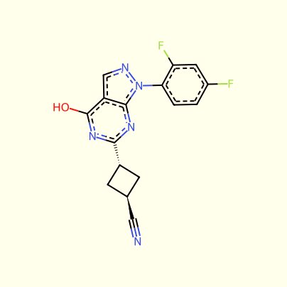 N#C[C@H]1C[C@H](c2nc(O)c3cnn(-c4ccc(F)cc4F)c3n2)C1